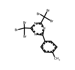 Cc1ccc(-c2nc(C(Br)(Br)Br)nc(C(Br)(Br)Br)n2)cc1